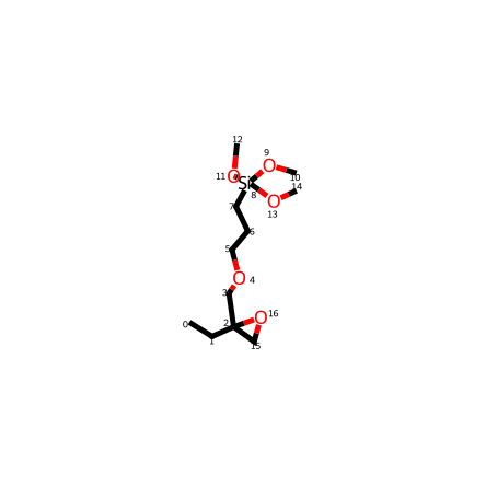 CCC1(COCCC[Si](OC)(OC)OC)CO1